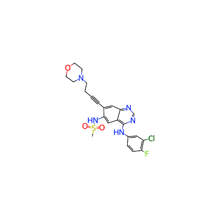 CS(=O)(=O)Nc1cc2c(Nc3ccc(F)c(Cl)c3)ncnc2cc1C#CCCN1CCOCC1